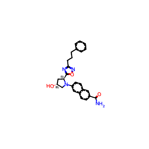 NC(=O)c1ccc2cc(N3C[C@H](O)C[C@H]3c3nc(CCCc4ccccc4)no3)ccc2c1